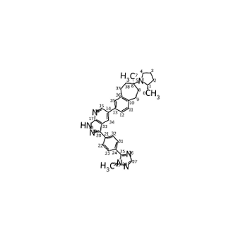 C[C@@H]1CCCN1[C@@]1(C)CCc2ccc(-c3cnc4[nH]nc(-c5ccc(-c6ncnn6C)cc5)c4c3)cc2CC1